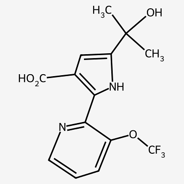 CC(C)(O)c1cc(C(=O)O)c(-c2ncccc2OC(F)(F)F)[nH]1